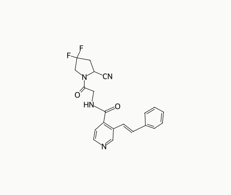 N#CC1CC(F)(F)CN1C(=O)CNC(=O)c1ccncc1/C=C/c1ccccc1